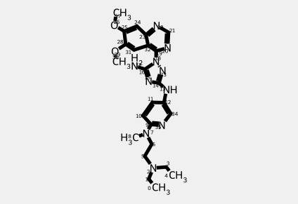 CCN(CC)CCN(C)c1ccc(Nc2nc(N)n(-c3ncnc4cc(OC)c(OC)cc34)n2)cn1